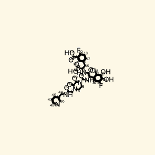 O=C(CN1CCN(C(=O)NC(C(=O)N[C@H]2Cc3ccc(F)c(C(=O)O)c3OB2O)c2cc(F)c(O)c(O)c2Cl)C(=O)C1=O)NCc1cccnc1